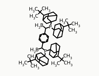 BC(c1ccc(C(B)P(C23CC4CC(C2)C(C(C)(C)C)C(C4)C3)C23CC4CC(C2)C(C(C)(C)C)C(C4)C3)cc1)P(C12CC3CC(C1)C(C(C)(C)C)C(C3)C2)C12CC3CC(C1)C(C(C)(C)C)C(C3)C2